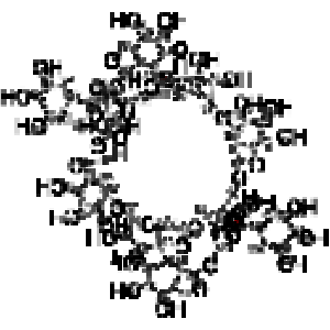 O=C(O[C@@H]1[C@H]2OC(=O)c3cc(O)c(O)c(O)c3Oc3cc4c(c(O)c3O)-c3c(cc(O)c(O)c3O)C(=O)O[C@@H]3[C@@H](OC4=O)O[C@@H](O)[C@H](OC(=O)c4cc(O)c(O)c(O)c4Oc4cc5c(c(O)c4O)-c4c(cc(O)c(O)c4O)C(=O)OC[C@@H](O[C@H]2O)[C@H]1OC5=O)[C@H]3OC(=O)c1cc(O)c(O)c(O)c1)c1cc(O)c(O)c(O)c1